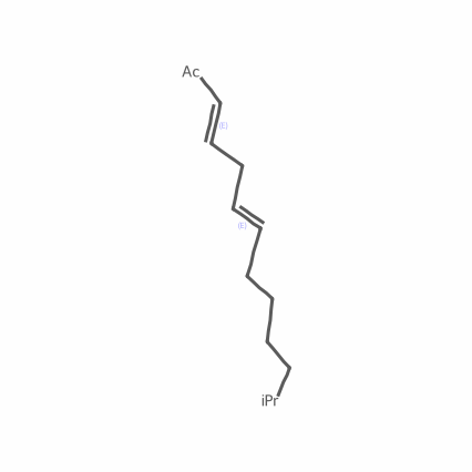 CC(=O)/C=C/C/C=C/CCCCC(C)C